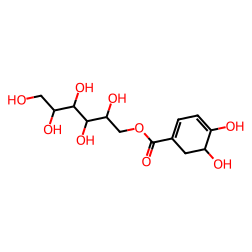 O=C(OCC(O)C(O)C(O)C(O)CO)C1=CC=C(O)C(O)C1